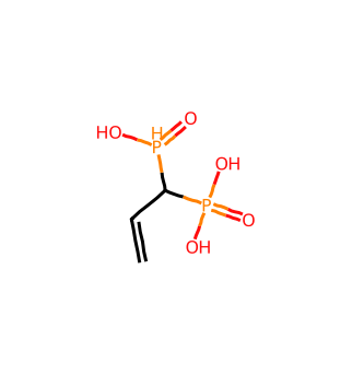 C=CC([PH](=O)O)P(=O)(O)O